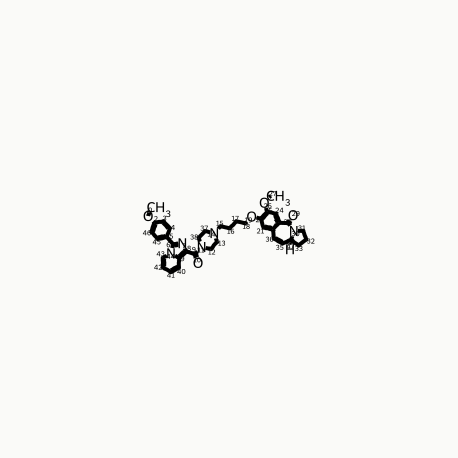 COc1ccc(-c2nc(C(=O)N3CCN(CCCCOc4cc5c(cc4OC)C(=O)N4CCC[C@H]4C=C5)CC3)c3ccccn23)cc1